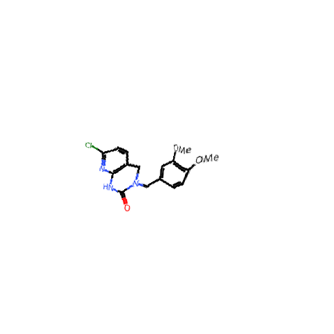 COc1ccc(CN2Cc3ccc(Cl)nc3NC2=O)cc1OC